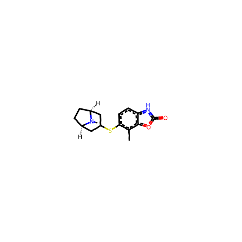 Cc1c(SC2C[C@H]3CC[C@@H](C2)N3C)ccc2[nH]c(=O)oc12